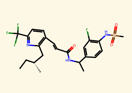 CC[C@@H](C)Cc1nc(C(F)(F)F)ccc1C=CC(=O)NC(C)c1ccc(NS(C)(=O)=O)c(F)c1